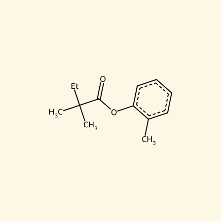 CCC(C)(C)C(=O)Oc1ccccc1C